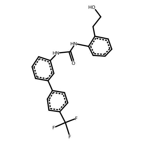 O=C(Nc1cccc(-c2ccc(C(F)(F)F)cc2)c1)Nc1ccccc1CCO